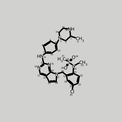 CC1CN(c2ccc(Nc3ncc4ccn(Cc5cc(Cl)ccc5N(C)S(C)(=O)=O)c4n3)cc2)CCN1